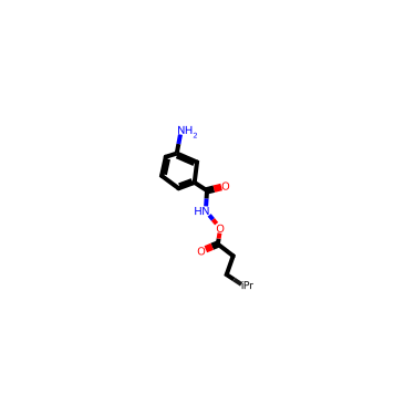 CC(C)CCC(=O)ONC(=O)c1cccc(N)c1